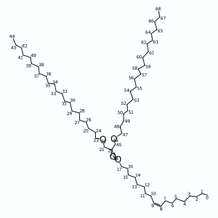 CCCCCCCC/C=C\CCCCCCCCOOC(COCCCCCCCCCCCCCCCCCCCCCC)COCCCCCCCCCCCCCCCCCCCCCC